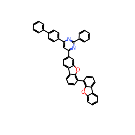 c1ccc(-c2ccc(-c3cc(-c4ccc5c(c4)oc4c(-c6cccc7c6oc6ccccc67)cccc45)nc(-c4ccccc4)n3)cc2)cc1